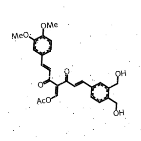 COc1ccc(/C=C/C(=O)/C(=C\OC(C)=O)C(=O)/C=C/c2ccc(CO)c(CO)c2)cc1OC